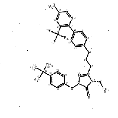 CCn1c(CCCc2ccc(-c3ncc(N)cc3C(F)(F)F)cc2)nn(Cc2ccc(C(C)(C)C)cc2)c1=O